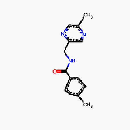 Cc1ccc(C(=O)NCc2cnc(C)cn2)cc1